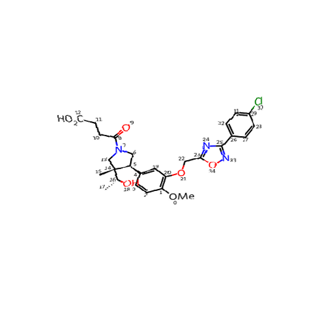 COc1ccc([C@@H]2CN(C(=O)CCC(=O)O)C[C@@]2(C)[C@@H](C)O)cc1OCc1nc(-c2ccc(Cl)cc2)no1